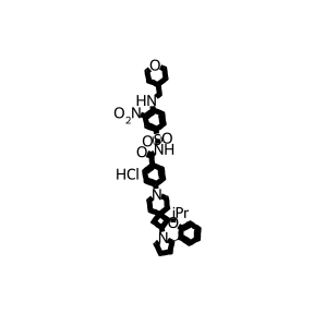 CC(C)Oc1ccccc1[C@@H]1CCCN1C1CC2(CCN(c3ccc(C(=O)NS(=O)(=O)c4ccc(NCC5CCOCC5)c([N+](=O)[O-])c4)cc3)CC2)C1.Cl